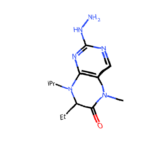 CCC1C(=O)N(C)c2cnc(NN)nc2N1C(C)C